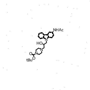 CC(=O)Nc1ccc2c(c1)c1ccccc1n2CC(O)CN1CCN(C(=O)OC(C)(C)C)CC1